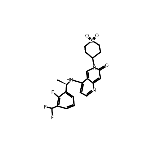 C[C@@H](Nc1ccnc2cc(=O)n(C3CCS(=O)(=O)CC3)cc12)c1cccc(C(F)F)c1F